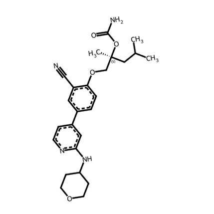 CC(C)C[C@@](C)(COc1ccc(-c2ccnc(NC3CCOCC3)c2)cc1C#N)OC(N)=O